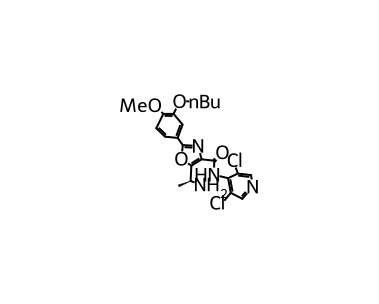 CCCCOc1cc(-c2nc(C(=O)Nc3c(Cl)cncc3Cl)c([C@H](C)N)o2)ccc1OC